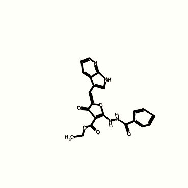 CCOC(=O)C1=C(NNC(=O)c2ccccc2)O/C(=C\c2c[nH]c3ncccc23)C1=O